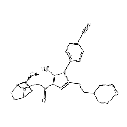 Cc1c(C(=O)CN2C3CCC2[C@@H](O)C3)cc(CCC2CCOCC2)n1-c1ccc(C#N)cc1